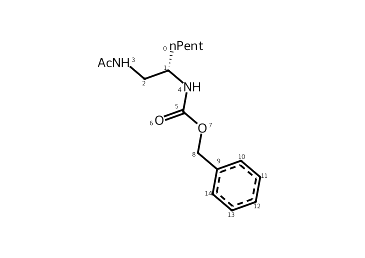 CCCCC[C@@H](CNC(C)=O)NC(=O)OCc1ccccc1